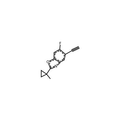 C#Cc1cc2nc(C3(C)CC3)oc2cc1F